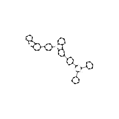 c1ccc(-c2nc(-c3ccccc3)nc(-c3ccc(-c4ccc5c(c4)c4ccccc4n5-c4ccc(-c5ccc6oc7ccccc7c6c5)cc4)cc3)n2)cc1